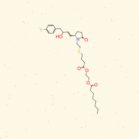 CCCCCCCC(=O)OCCOC(=O)CCCSCCN1C(=O)CC[C@@H]1/C=C/[C@@H](O)Cc1ccc(F)cc1